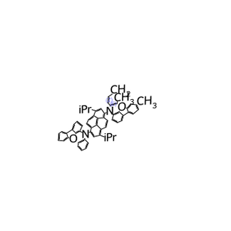 C=C/C=C\C(=C/C)N(c1cc(C(C)C)c2ccc3c(N(c4ccccc4)c4cccc5c4oc4ccccc45)cc(C(C)C)c4ccc1c2c43)c1cccc2c1oc1cc(C)ccc12